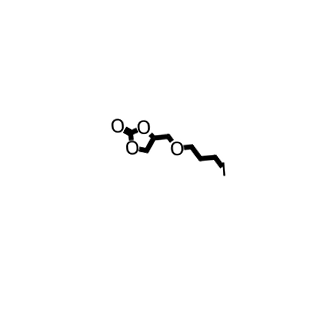 O=C1OCC(COCCCI)O1